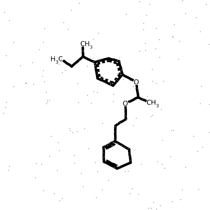 CCC(C)c1ccc(OC(C)OCCC2=CC=CCC2)cc1